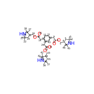 CC1(C)CC(COC(=O)Cc2ccc(CC(=O)OCC3CC(C)(C)NC3(C)C)c(CC(=O)OCC3CC(C)(C)NC3(C)C)c2)C(C)(C)N1